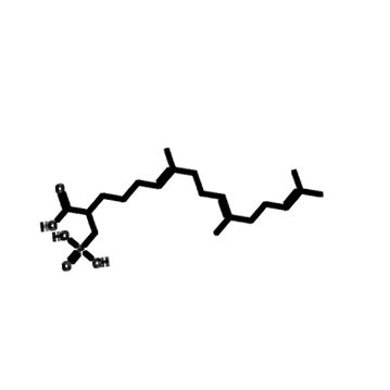 CC(C)=CCCC(C)=CCCC(C)=CCCCC(CP(=O)(O)O)C(=O)O